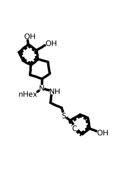 CCCCCCN(NCCSc1ccc(O)cc1)C1CCc2c(ccc(O)c2O)C1